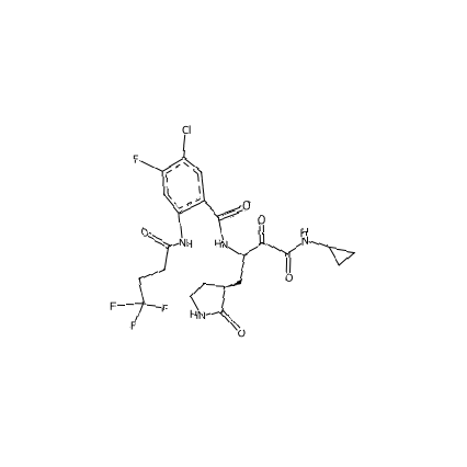 O=C(CCC(F)(F)F)Nc1cc(F)c(Cl)cc1C(=O)NC(C[C@@H]1CCNC1=O)C(=O)C(=O)NC1CC1